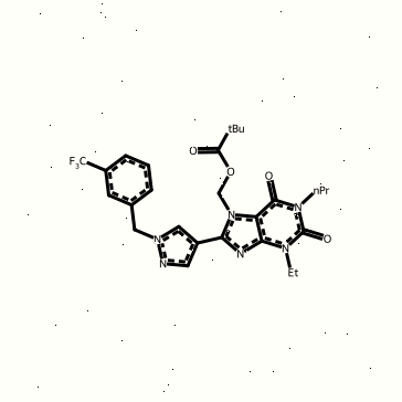 CCCn1c(=O)c2c(nc(-c3cnn(Cc4cccc(C(F)(F)F)c4)c3)n2COC(=O)C(C)(C)C)n(CC)c1=O